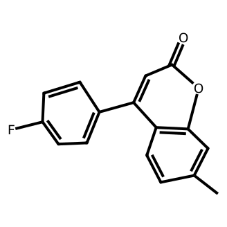 Cc1ccc2c(-c3ccc(F)cc3)cc(=O)oc2c1